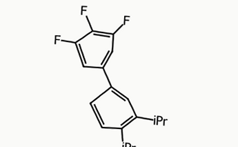 CC(C)c1ccc(-c2cc(F)c(F)c(F)c2)cc1C(C)C